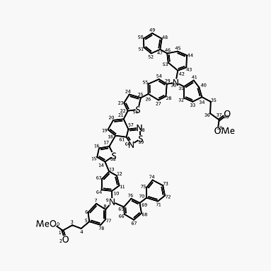 COC(=O)CCc1ccc(N(c2ccc(-c3ccc(-c4ccc(-c5ccc(-c6ccc(N(c7ccc(CCC(=O)OC)cc7)c7cccc(-c8ccccc8)c7)cc6)s5)c5nsnc45)s3)cc2)c2cccc(-c3ccccc3)c2)cc1